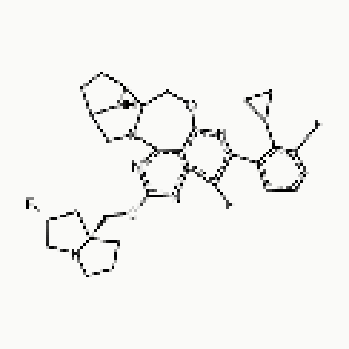 Fc1cccc(-c2nc3c4c(nc(OC[C@@]56CCCN5C[C@H](F)C6)nc4c2F)N2CC4CCC(N4)C2CO3)c1C1CC1